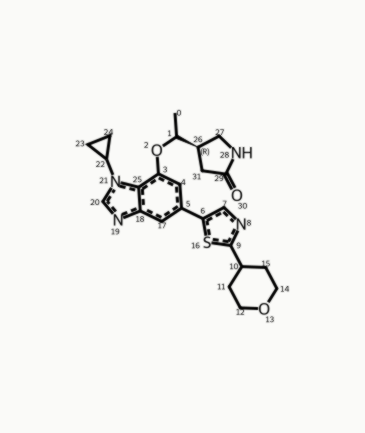 CC(Oc1cc(-c2cnc(C3CCOCC3)s2)cc2ncn(C3CC3)c12)[C@H]1CNC(=O)C1